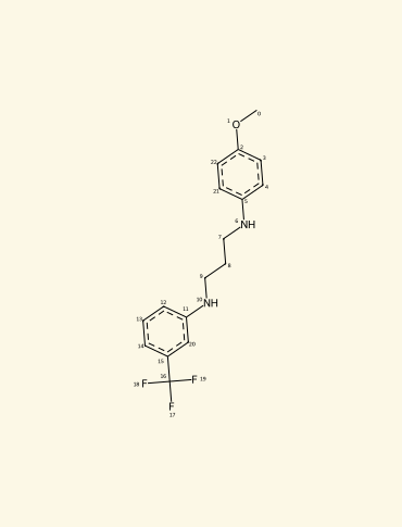 COc1ccc(NCCCNc2cccc(C(F)(F)F)c2)cc1